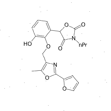 CCCN1C(=O)OC(c2cccc(O)c2OCc2nc(-c3ccco3)oc2C)C1=O